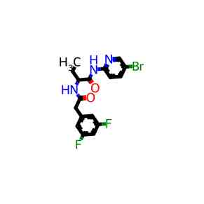 CCC(NC(=O)Cc1cc(F)cc(F)c1)C(=O)Nc1ccc(Br)cn1